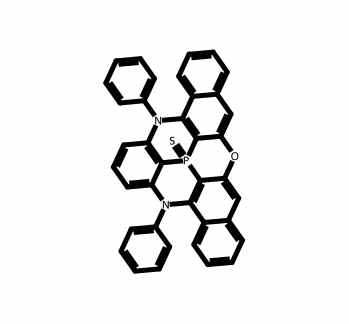 S=P12c3c4cccc3N(c3ccccc3)c3c1c(cc1ccccc31)Oc1cc3ccccc3c(c12)N4c1ccccc1